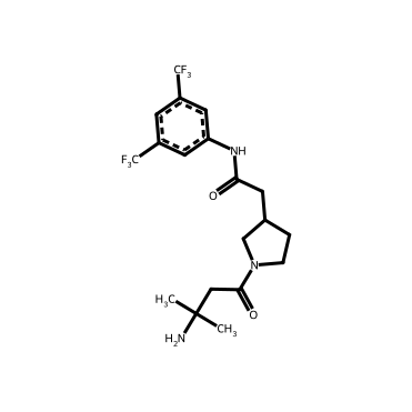 CC(C)(N)CC(=O)N1CCC(CC(=O)Nc2cc(C(F)(F)F)cc(C(F)(F)F)c2)C1